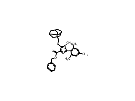 Cc1cc(C)c(-c2nc(C(=O)OCc3ccccc3)c(CCC34CC5CC(CC(C5)C3)C4)n2C)c(C)c1